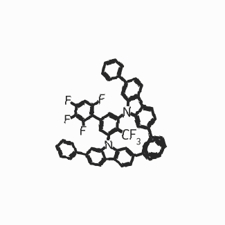 Fc1cc(F)c(-c2cc(-n3c4cc(-c5ccccc5)ccc4c4ccc(-c5ccccc5)cc43)c(C(F)(F)F)c(-n3c4cc(-c5ccccc5)ccc4c4ccc(-c5ccccc5)cc43)c2)c(F)c1F